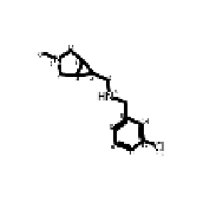 CN1CC2C(CNCc3cccc(Cl)c3)C2C1